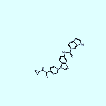 O=C(Nc1ccc2c(c1)ncn2-c1ccc(C(=O)NC2CC2)cc1)c1ccc2cc[nH]c2c1